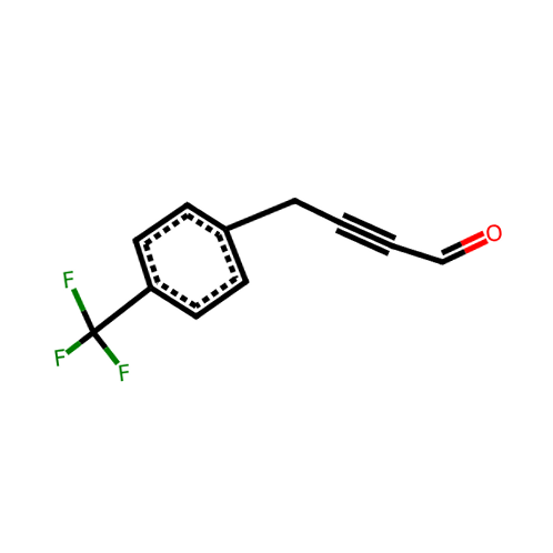 O=CC#CCc1ccc(C(F)(F)F)cc1